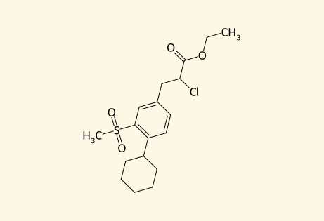 CCOC(=O)C(Cl)Cc1ccc(C2CCCCC2)c(S(C)(=O)=O)c1